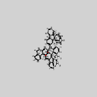 CC1(C)c2ccccc2-c2cccc(-c3ccccc3N(c3ccc4c(c3)C3(c5ccccc5-4)C4CC5CC(C4)CC3C5)c3ccc4c(ccc5ccccc54)c3)c21